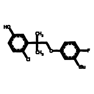 CC(C)(C)c1cc(OCC(C)(C)c2cc(O)ccc2Cl)ccc1F